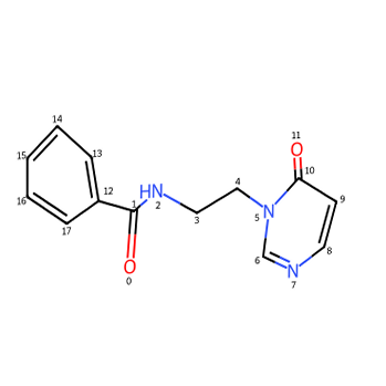 O=C(NCCn1cnccc1=O)c1ccccc1